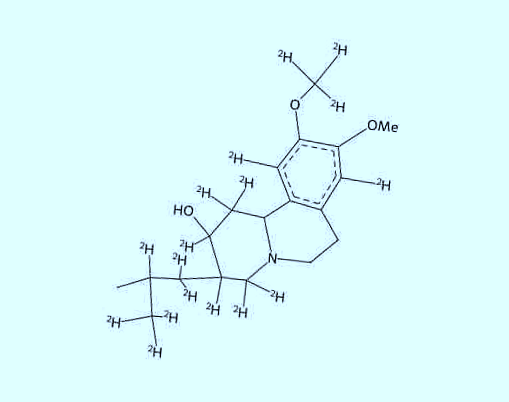 [2H]c1c2c(c([2H])c(OC([2H])([2H])[2H])c1OC)C1N(CC2)C([2H])([2H])C([2H])(C([2H])([2H])C([2H])(C)C([2H])([2H])[2H])C([2H])(O)C1([2H])[2H]